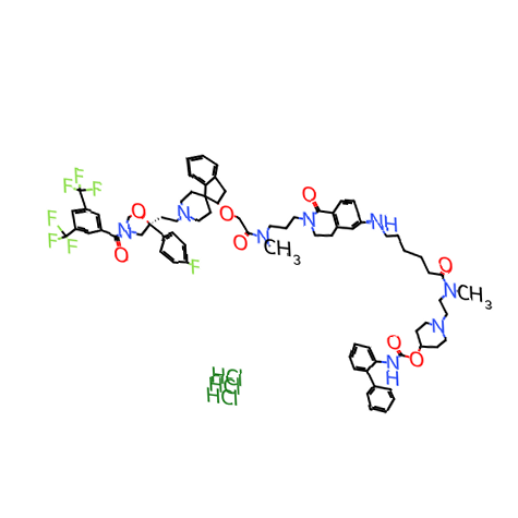 CN(CCN1CCC(OC(=O)Nc2ccccc2-c2ccccc2)CC1)C(=O)CCCCCNc1ccc2c(c1)CCN(CCCN(C)C(=O)CO[C@H]1Cc3ccccc3C13CCN(CC[C@]1(c4ccc(F)cc4)CN(C(=O)c4cc(C(F)(F)F)cc(C(F)(F)F)c4)CO1)CC3)C2=O.Cl.Cl.Cl